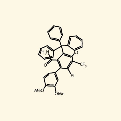 CCc1c(-c2ccc(OC)c(OC)c2)c(C(N)=O)c(C(c2ccccc2)(c2ccccc2)c2ccccc2)c(CC)c1C(F)(F)F